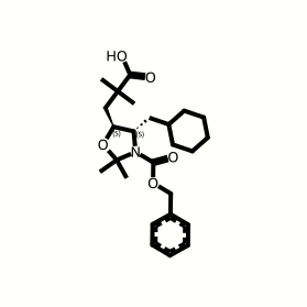 CC(C)(C[C@@H]1OC(C)(C)N(C(=O)OCc2ccccc2)[C@H]1CC1CCCCC1)C(=O)O